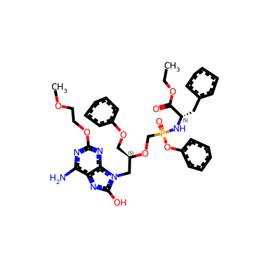 CCOC(=O)[C@H](Cc1ccccc1)NP(=O)(CO[C@H](COc1ccccc1)Cn1c(O)nc2c(N)nc(OCCOC)nc21)Oc1ccccc1